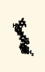 Cc1cc(C)cc(Nc2ncc3c(n2)CN([C@@H]2CCN(C(=O)c4ccnc(S(N)(=O)=O)c4)[C@H](C)C2)C3)c1